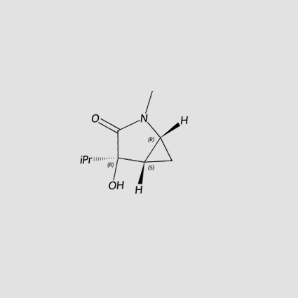 CC(C)[C@]1(O)C(=O)N(C)[C@@H]2C[C@@H]21